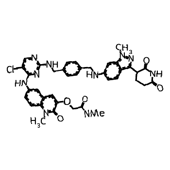 CNC(=O)COc1cc2cc(Nc3nc(NCc4ccc(CNc5ccc6c(C7CCC(=O)NC7=O)nn(C)c6c5)cc4)ncc3Cl)ccc2n(C)c1=O